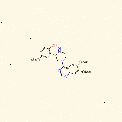 COc1ccc(O)c(C2CN(c3ncnc4cc(OC)c(OC)cc34)CCN2)c1